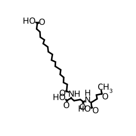 CC(=O)CCC(NC(=O)CCC(NC(=O)CCCCCCCCCCCCCCCCC(=O)O)C(=O)O)C(=O)O